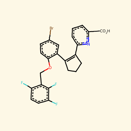 O=C(O)c1cccc(C2=C(c3cc(Br)ccc3OCc3c(F)ccc(F)c3F)CCC2)n1